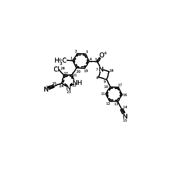 Cc1ccc(C(=O)N2CC(c3ccc(C#N)cc3)C2)cc1-c1[nH]nc(C#N)c1Cl